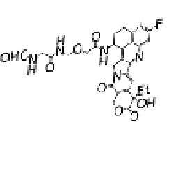 CC[C@@]1(O)C(=O)OCc2c1cc1n(c2=O)Cc2c-1nc1cc(F)c(C)c3c1c2[C@@H](NC(=O)COCNC(=O)CNC=O)CC3